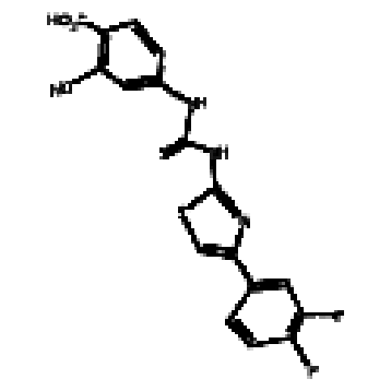 O=C(O)c1ccc(NC(=S)Nc2nc(-c3ccc(F)c(F)c3)cs2)cc1O